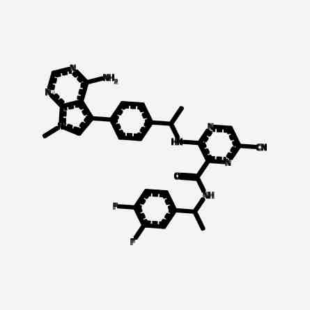 CC(NC(=O)c1nc(C#N)cnc1NC(C)c1ccc(-c2cn(C)c3ncnc(N)c23)cc1)c1ccc(F)c(F)c1